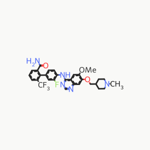 COc1cc2c(Nc3ccc(-c4c(C(N)=O)cccc4C(F)(F)F)cc3F)ncnc2cc1OCC1CCN(C)CC1